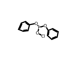 ClOP(Oc1ccccc1)Oc1ccccc1